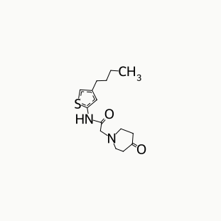 CCCCc1csc(NC(=O)CN2CCC(=O)CC2)c1